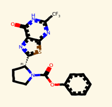 O=C(Oc1ccccc1)N1CCC[C@@H]1c1nc2c(=O)[nH]c(C(F)(F)F)nc2s1